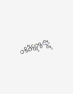 C=CC(C/C=C\C)C(=O)Oc1ccc(C(C)(C)c2ccc(OC(=O)C3=CCCC=C3)cc2)cc1